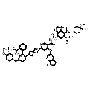 COc1ccc(CN2CCN(C3CC4(C3)CN(c3cc(Oc5cnc6[nH]ccc6c5)c(C(=O)NS(=O)(=O)c5cc([N+](=O)[O-])c(NC[C@H]6CC[C@](C)(O)CC6)c6[nH]cnc56)cn3)C4)C(c3ccccc3C(C)C)C2)cc1